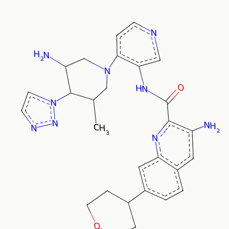 CC1CN(c2ccncc2NC(=O)c2nc3cc(C4CCOCC4)ccc3cc2N)CC(N)C1n1ccnn1